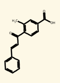 Cc1cc(C(=O)O)ccc1C(=O)C=Cc1ccccc1